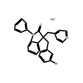 Cl.O=C1N(c2ccccc2)c2ccccc2C1(Cc1ccncc1)Cc1cccc(Br)c1